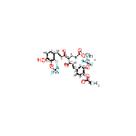 COC(=O)CCC(C(=O)/C=C/c1ccc(O)c(OC(F)(F)F)c1)C(=O)/C=C/c1ccc(OC(C)=O)c(OC(F)(F)F)c1